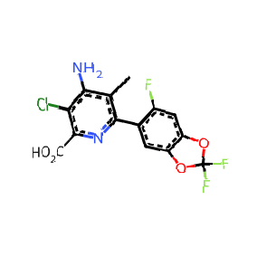 Cc1c(-c2cc3c(cc2F)OC(F)(F)O3)nc(C(=O)O)c(Cl)c1N